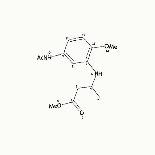 COC(=O)CC(C)Nc1cc(NC(C)=O)ccc1OC